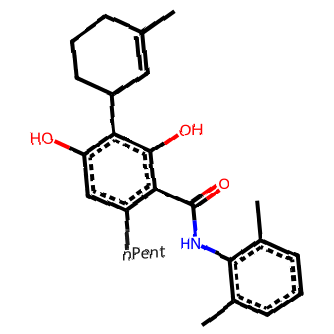 CCCCCc1cc(O)c(C2C=C(C)CCC2)c(O)c1C(=O)Nc1c(C)cccc1C